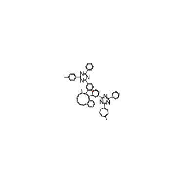 CC1=CC=C(c2nc(-c3ccccc3)nc(-c3cccc(-c4c(-c5cccc(-c6nc(-c7ccccc7)nc(-c7ccc(C)cc7)n6)c5)c(C)cccccc5ccccc45)c3)n2)CC=C1